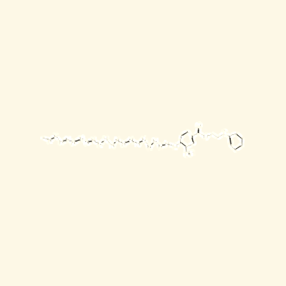 CN=NN=NN=NN=NN=NN=NN=NN=NN=NN=NOc1ccc(C(=O)OCCOc2ccccc2)cc1O